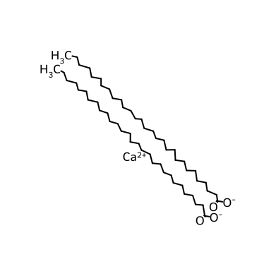 CCCCCCCCCCCCCCCCCCCCCCCCCCCCC(=O)[O-].CCCCCCCCCCCCCCCCCCCCCCCCCCCCC(=O)[O-].[Ca+2]